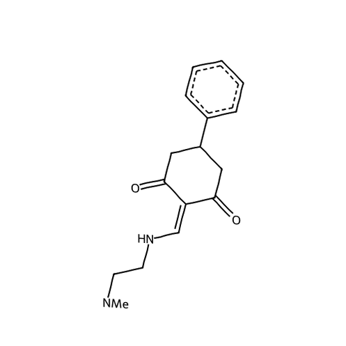 CNCCNC=C1C(=O)CC(c2ccccc2)CC1=O